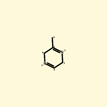 CC1=NCC=NC1